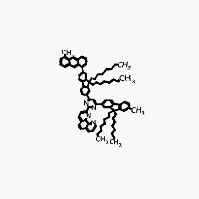 CCCCCCCCC1(CCCCCCCC)c2cc(C)ccc2-c2ccc(-c3cc(-c4ccc5c(c4)C(CCCCCCCC)(CCCCCCCC)c4cc(-c6cccc7cc8c(C)cccc8cc67)ccc4-5)nc(-c4ccc5ccc6cccnc6c5n4)n3)cc21